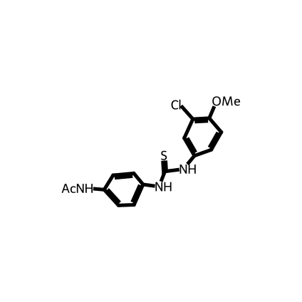 COc1ccc(NC(=S)Nc2ccc(NC(C)=O)cc2)cc1Cl